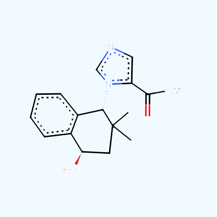 COC(=O)c1cncn1[C@H]1c2ccccc2[C@H](O)CC1(C)C